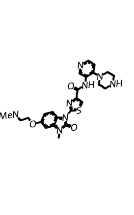 CNCCOc1ccc2c(c1)n(C)c(=O)n2-c1nc(C(=O)Nc2cnccc2N2CCNCC2)cs1